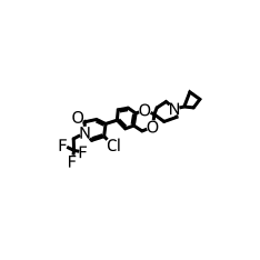 O=c1cc(-c2ccc3c(c2)COC2(CCN(C4CCC4)CC2)O3)c(Cl)cn1CC(F)(F)F